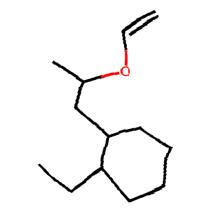 C=COC(C)CC1CCCCC1CC